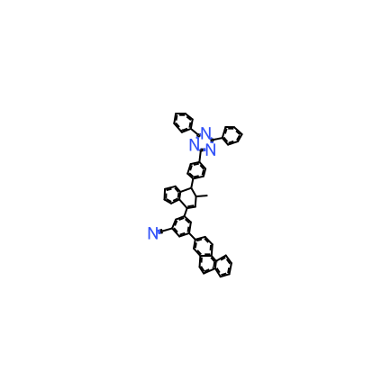 CC1C=C(c2cc(C#N)cc(-c3ccc4c(ccc5ccccc54)c3)c2)c2ccccc2C1c1ccc(-c2nc(-c3ccccc3)nc(-c3ccccc3)n2)cc1